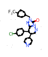 O=c1n(Cc2ccc(C(F)(F)F)cc2)nc2c(-c3ccc(Cl)cc3)c(-c3ccncc3)cnn12